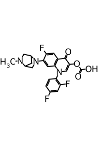 CN1CC2CC1CN2c1cc2c(cc1F)c(=O)c(OC(=O)O)cn2-c1ccc(F)cc1F